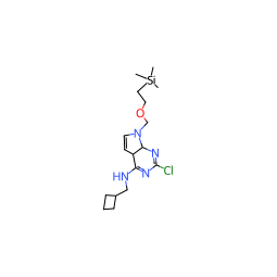 C[Si](C)(C)CCOCN1C=CC2C(NCC3CCC3)=NC(Cl)=NC21